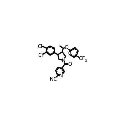 CC(Oc1ccc(C(F)(F)F)cn1)C1CN(C(=O)c2ccc(C#N)nc2)CC1c1ccc(Cl)c(Cl)c1